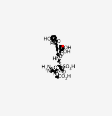 CC(C)(O/N=C(\C(=O)NC1C(=O)N(S(=O)(=O)O)C1CSCCNC(=O)CN(CCCCNC(=O)c1cccc(O)c1O)C(=O)c1cccc(O)c1O)c1cnc(N)s1)C(=O)O